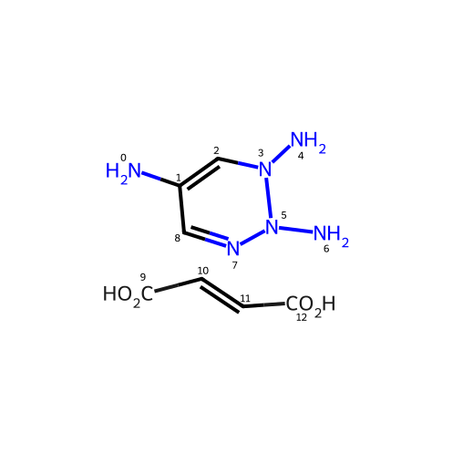 NC1=CN(N)N(N)N=C1.O=C(O)C=CC(=O)O